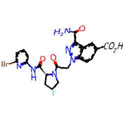 NC(=O)c1nn(CC(=O)N2C[C@H](F)C[C@H]2C(=O)Nc2cccc(Br)n2)c2ccc(C(=O)O)cc12